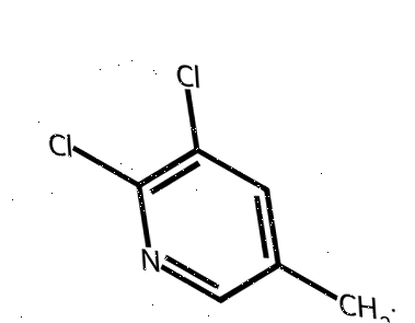 [CH2]c1cnc(Cl)c(Cl)c1